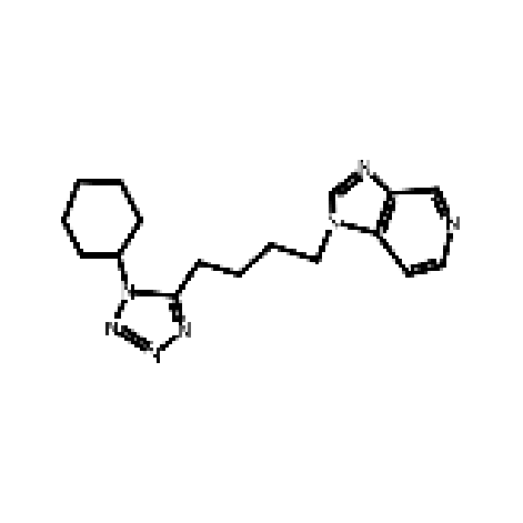 c1cc2c(cn1)ncn2CCCCc1nnnn1C1CCCCC1